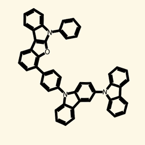 c1ccc(-n2c3ccccc3c3c4cccc(-c5ccc(-n6c7ccccc7c7cc(-n8c9ccccc9c9ccccc98)ccc76)cc5)c4oc32)cc1